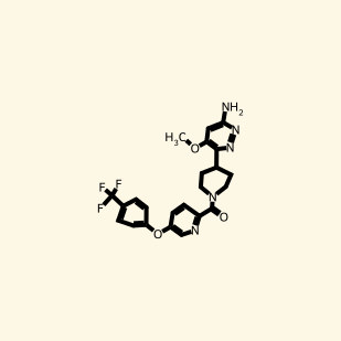 COc1cc(N)nnc1C1CCN(C(=O)c2ccc(Oc3ccc(C(F)(F)F)cc3)cn2)CC1